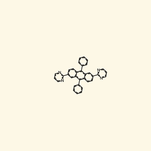 c1ccc(-c2c3ccc(-c4ncccn4)cc3c(-c3ccccc3)c3ccc(-c4ncccn4)cc23)cc1